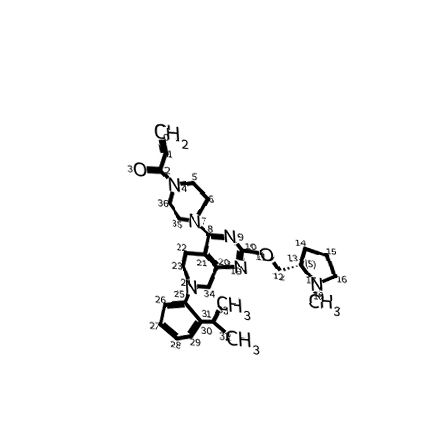 C=CC(=O)N1CCN(c2nc(OC[C@@H]3CCCN3C)nc3c2CCN(c2ccccc2C(C)C)C3)CC1